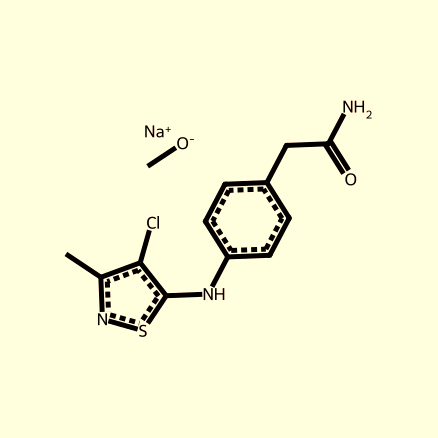 C[O-].Cc1nsc(Nc2ccc(CC(N)=O)cc2)c1Cl.[Na+]